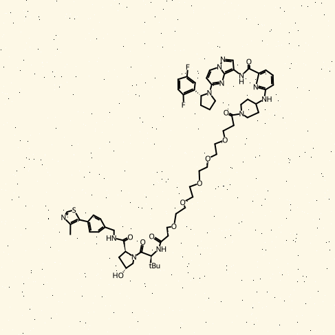 Cc1ncsc1-c1ccc(CNC(=O)[C@@H]2C[C@@H](O)CN2C(=O)[C@@H](NC(=O)CCOCCOCCOCCOCCOCCC(=O)N2CCC(Nc3cccc(C(=O)Nc4cnn5ccc(N6CCC[C@@H]6c6cc(F)ccc6F)nc45)n3)CC2)C(C)(C)C)cc1